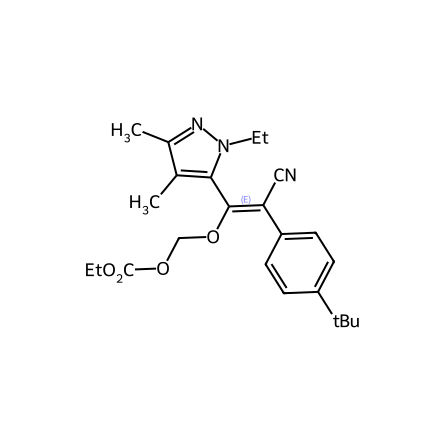 CCOC(=O)OCO/C(=C(/C#N)c1ccc(C(C)(C)C)cc1)c1c(C)c(C)nn1CC